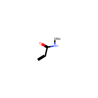 C=CC(=O)NSC